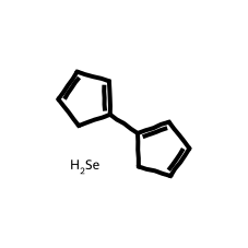 C1=CCC(C2=CC=CC2)=C1.[SeH2]